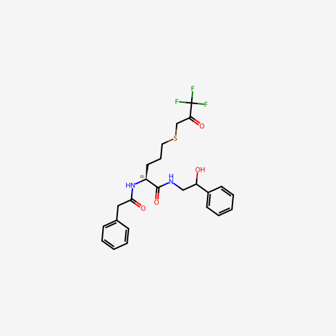 O=C(Cc1ccccc1)N[C@@H](CCCSCC(=O)C(F)(F)F)C(=O)NCC(O)c1ccccc1